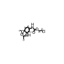 COc1ccc(NC(=O)OCCCl)cc1NC(C)=O